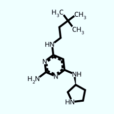 CC(C)(C)CCNc1cc(N[C@H]2CCNC2)nc(N)n1